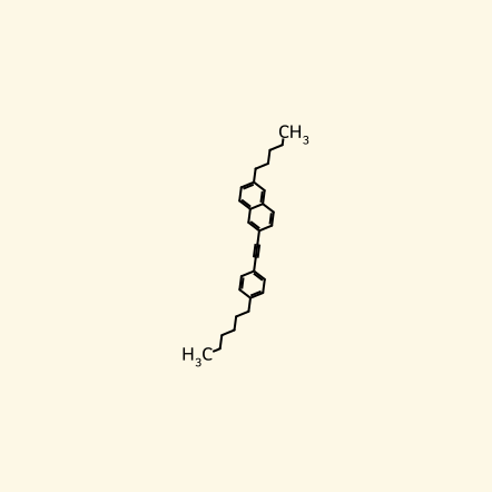 CCCCCCc1ccc(C#Cc2ccc3cc(CCCCC)ccc3c2)cc1